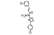 COc1cccc(C=CC(=O)N(N)c2csc(-c3ccc(Cl)cc3)n2)c1